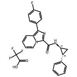 O=C(N[C@H]1C[C@@H]1c1ccccc1)c1nc(-c2ccc(F)cc2)c2ccccn12.O=C(O)C(F)(F)F